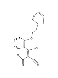 N#Cc1c(O)c2c(OCCc3ccccc3)cccc2oc1=O